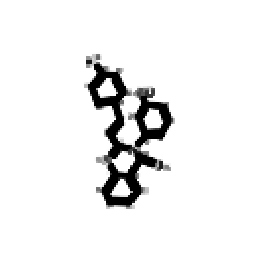 O=Nc1cccc(-n2c(/C=C/c3ccc(Br)cc3)nc3ccccc3c2=O)c1